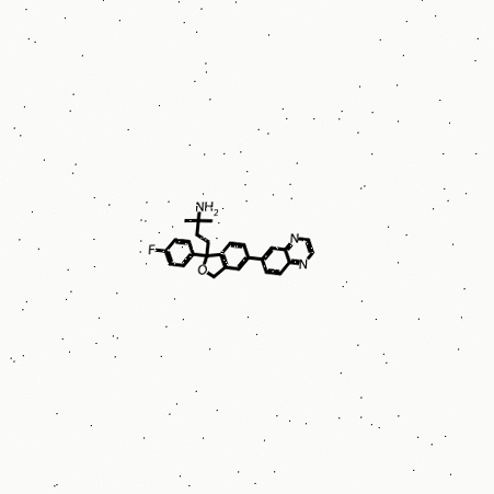 CC(C)(N)CCC1(c2ccc(F)cc2)OCc2cc(-c3ccc4nccnc4c3)ccc21